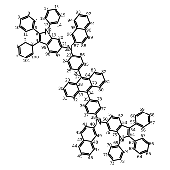 C1=CCC(c2c(-c3ccccc3)n(-c3ccccc3)c3cc(N(c4ccc(-c5c6ccccc6c(-c6ccc(N(c7ccc8ccccc8c7)c7ccc8c(-c9ccccc9)c(-c9ccccc9)n(-c9ccccc9)c8c7)cc6)c6ccccc56)cc4)c4ccc5ccccc5c4)ccc23)C=C1